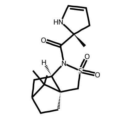 CC1(C)C2CC[C@]13CS(=O)(=O)N(C(=O)[C@@]1(C)CC=CN1)[C@@H]3C2